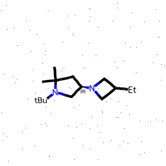 CCC1CN([C@H]2CN(C(C)(C)C)C(C)(C)C2)C1